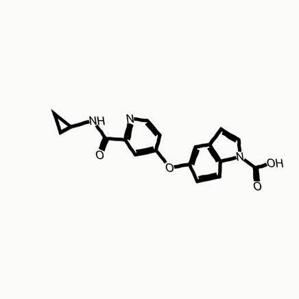 O=C(NC1CC1)c1cc(Oc2ccc3c(ccn3C(=O)O)c2)ccn1